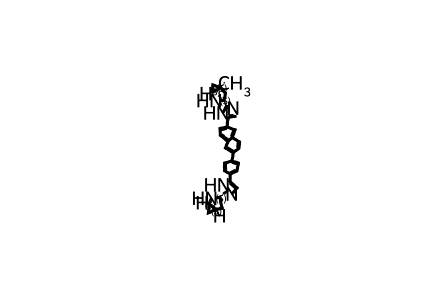 C[C@]12C[C@@H](c3ncc(-c4ccc5cc(-c6ccc(-c7cnc([C@@H]8C[C@@H]9C[C@@H]9N8)[nH]7)cc6)ccc5c4)[nH]3)N[C@H]1C2